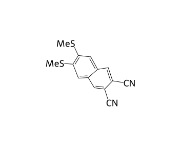 CSc1cc2cc(C#N)c(C#N)cc2cc1SC